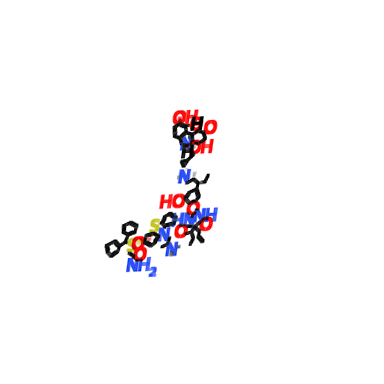 C=CCC1(C(C)CC)C(=O)NC(=O)NC1=O.CC(CN1c2ccccc2Sc2ccccc21)N(C)C.CC[C@@H](c1cccc(O)c1)[C@@H](C)CN(C)C.NC(=O)C[S+]([O-])C(c1ccccc1)c1ccccc1.O=C1CC[C@@]2(O)[C@H]3Cc4ccc(O)c5c4[C@@]2(CCN3CC2CC2)[C@H]1O5